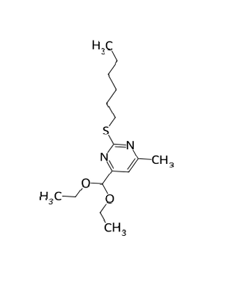 CCCCCCSc1nc(C)cc(C(OCC)OCC)n1